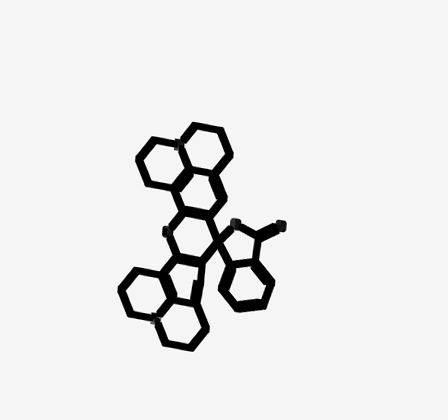 O=C1OC2(c3ccccc31)c1cc3c4c(c1Oc1c2cc2c5c1CCCN5CCC2)CCCN4CCC3